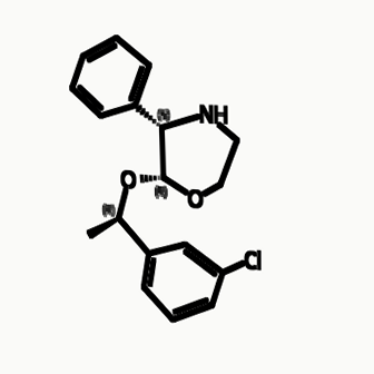 C[C@@H](O[C@H]1OCCN[C@H]1c1ccccc1)c1cccc(Cl)c1